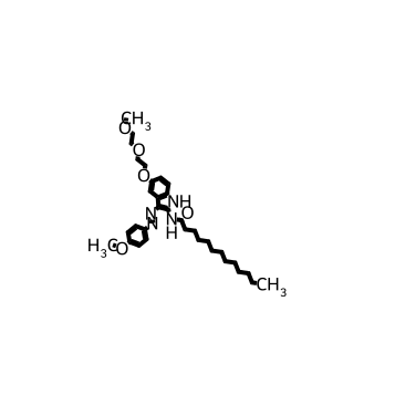 CCCCCCCCCCCCC(=O)Nc1[nH]c2ccc(OCCOCCOC)cc2c1N=Nc1ccc(OC)cc1